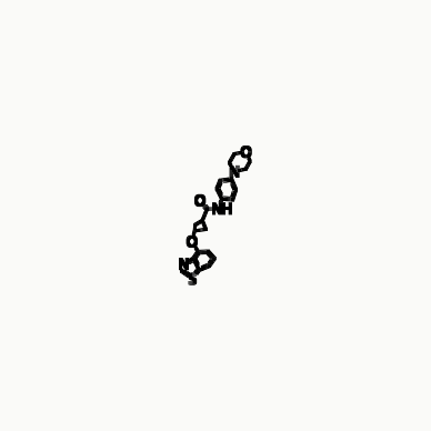 O=C(Nc1ccc(N2CCOCC2)cc1)C1CC(Oc2cccc3scnc23)C1